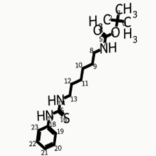 CC(C)(C)OC(=O)NCCCCCCNC(=S)Nc1ccccc1